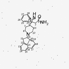 N=S1(CC(N)=O)(C2CCN(C3Cc4cccc5cccc3c45)CC2)c2ccccc21